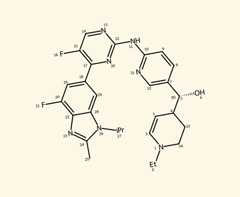 CCN1C=CC([C@@H](O)c2ccc(Nc3ncc(F)c(-c4cc(F)c5nc(C)n(C(C)C)c5c4)n3)nc2)CC1